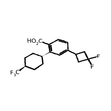 O=C(O)c1ccc(C2CC(F)(F)C2)cc1[C@H]1CC[C@H](C(F)(F)F)CC1